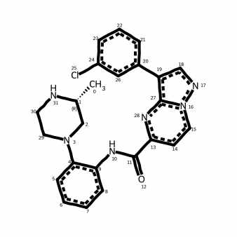 C[C@@H]1CN(c2ccccc2NC(=O)c2ccn3ncc(-c4cccc(Cl)c4)c3n2)CCN1